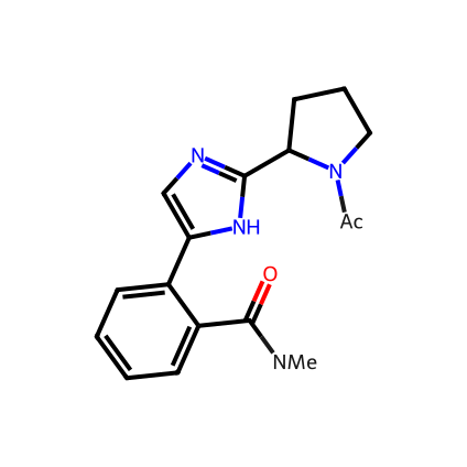 CNC(=O)c1ccccc1-c1cnc(C2CCCN2C(C)=O)[nH]1